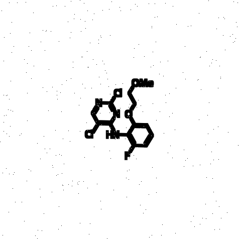 COCCOc1cccc(F)c1Nc1nc(Cl)ncc1Cl